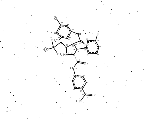 CC(C)(C)C[C@@H]1N[C@@H](C(=O)Nc2ccc(C(N)=O)cc2)[C@H](c2cccc(Cl)c2)[C@]12C(=O)Nc1cc(Cl)cc(F)c12